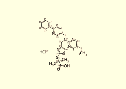 CCc1cnc(N(Cc2ccc(-c3ccccc3)nc2)Cc2csc(SC(C)(C)C(=O)O)n2)nc1.Cl